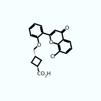 O=c1cc(-c2ccccc2OC[C@H]2C[C@H](C(=O)O)C2)oc2c(Cl)cccc12